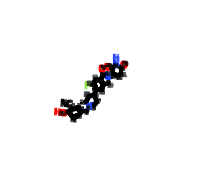 N#Cc1cc(CN2CCC(c3cc4c(cc3F)C(=O)N(C3CCC(=O)NC3=O)C4)CC2)ccc1O